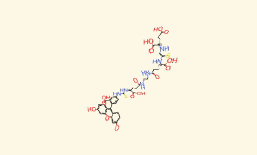 O=C(O)CC[C@H](NCC(=S)N[C@@H](CCC(=O)NCCNC(=O)CC[C@H](NC(=S)Nc1ccc(-c2c3ccc(=O)cc-3oc3cc(O)ccc23)c(C(=O)O)c1)C(=O)O)C(=O)O)C(=O)O